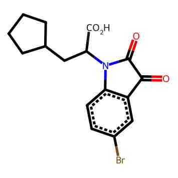 O=C1C(=O)N(C(CC2CCCC2)C(=O)O)c2ccc(Br)cc21